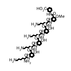 COc1ccc(NC(=O)[C@H](CCCCN)NC(=O)c2cc(NC(=O)[C@H](CCCCN)NC(=O)c3cc(NC(=O)[C@H](CCCCN)NC(=O)c4cc(NC(=O)[C@@H](N)CCCCN)ccc4O)ccc3O)ccc2O)cc1C(=O)Nc1cccc(C(=O)O)c1